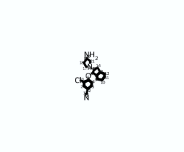 N#Cc1ccc(O[C@@H]2c3ccccc3C[C@H]2N2CC[C@H](N)C2)c(Cl)c1